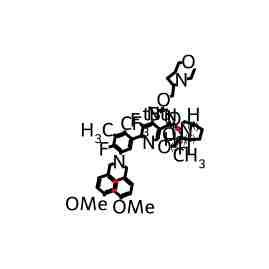 COc1ccc(CN(Cc2ccc(OC)cc2)c2cc(-c3nc4c5c(nc(OCC6CC7COCCN76)nc5c3F)N3C[C@H]5CC[C@@H]([C@H]3[C@H](C)O4)N5C(=O)OC(C)(C)C)c(C(F)(F)F)c(C)c2F)cc1